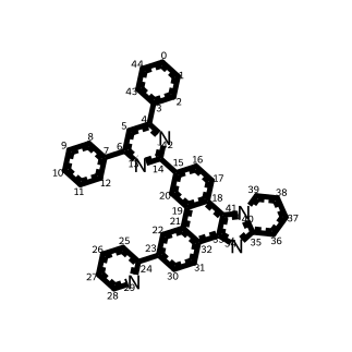 c1ccc(-c2cc(-c3ccccc3)nc(-c3ccc4c(c3)c3cc(-c5ccccn5)ccc3c3nc5ccccn5c43)n2)cc1